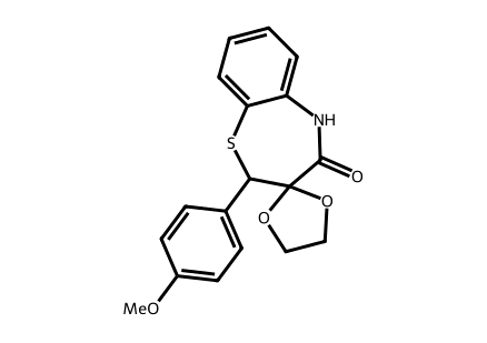 COc1ccc(C2Sc3ccccc3NC(=O)C23OCCO3)cc1